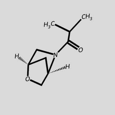 CC(C)C(=O)N1C[C@H]2C[C@@H]1CO2